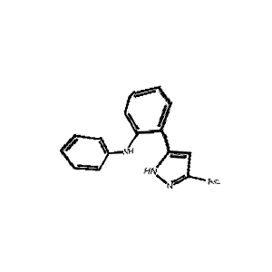 CC(=O)c1cc(-c2ccccc2Nc2ccccc2)[nH]n1